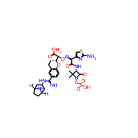 CC1(C)[C@H](NC(=O)/C(=N\O[C@](C)(C(=O)O)[C@H]2CCc3cc(C(=N)NC4C[C@H]5CC[C@@H](C4)N5)ccc3O2)c2csc(N)n2)C(=O)N1OS(=O)(=O)O